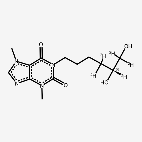 [2H]C([2H])(O)[C@]([2H])(O)C([2H])([2H])CCCn1c(=O)c2c(ncn2C)n(C)c1=O